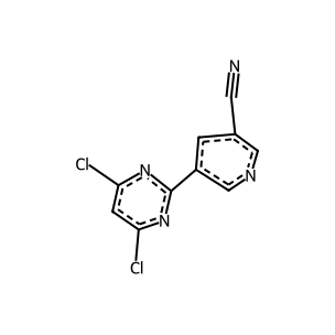 N#Cc1cncc(-c2nc(Cl)cc(Cl)n2)c1